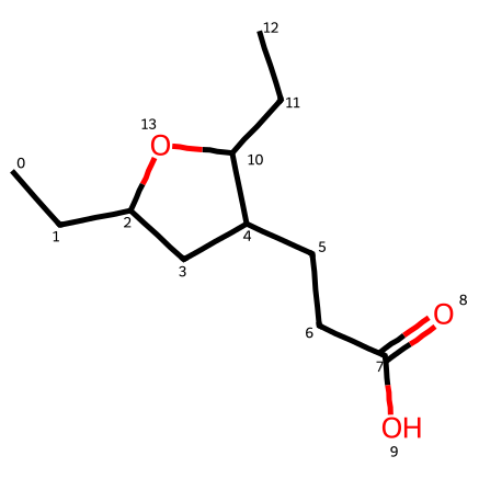 CCC1CC(CCC(=O)O)C(CC)O1